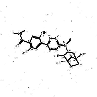 CN(C)C(=O)c1cc(O)c(-c2ccc(N(C)[C@H]3C[C@@H]4CC[C@@H](C4)[C@H]3F)nn2)cc1F